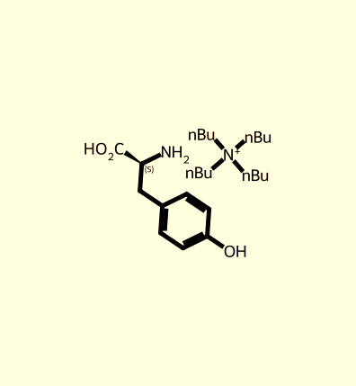 CCCC[N+](CCCC)(CCCC)CCCC.N[C@@H](Cc1ccc(O)cc1)C(=O)O